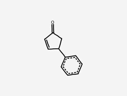 O=C1C=CC(c2ccccc2)C1